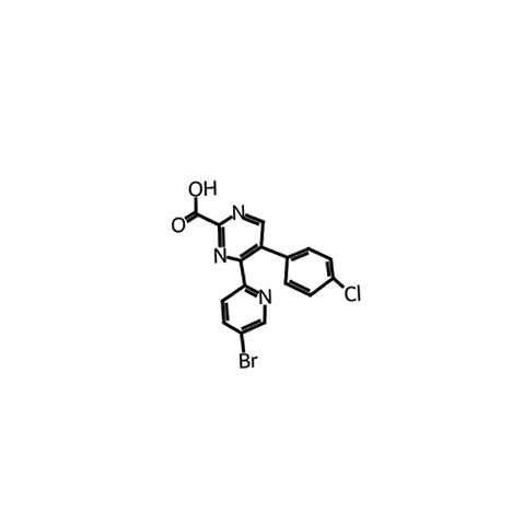 O=C(O)c1ncc(-c2ccc(Cl)cc2)c(-c2ccc(Br)cn2)n1